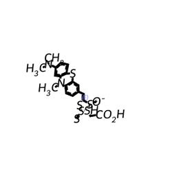 CN(C)c1ccc2c(c1)N(C)c1ccc(/C=C3\SS(=S)[SH](CC(=O)O)[S+]3[O-])cc1S2